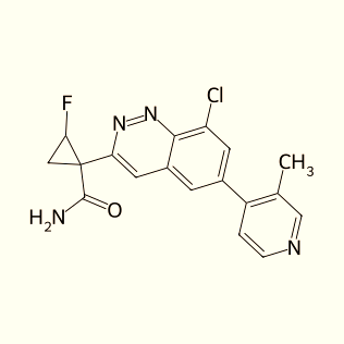 Cc1cnccc1-c1cc(Cl)c2nnc(C3(C(N)=O)CC3F)cc2c1